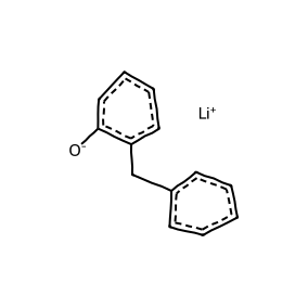 [Li+].[O-]c1ccccc1Cc1ccccc1